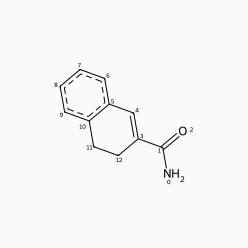 NC(=O)C1=Cc2ccccc2CC1